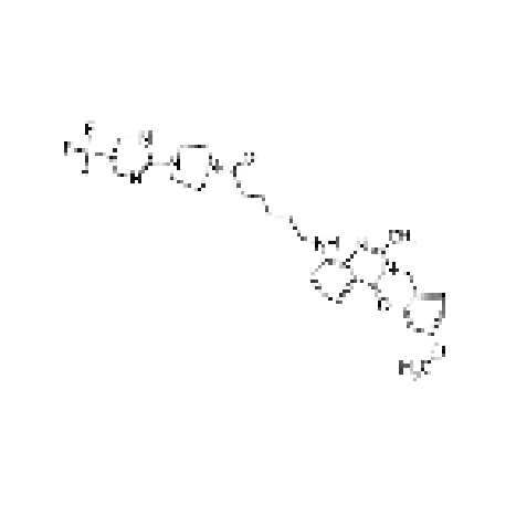 COc1ccc(Cn2c(C)nc3c(NCCCCCC(=O)N4CCN(c5ncc(C(F)(F)F)cn5)CC4)cccc3c2=O)cc1